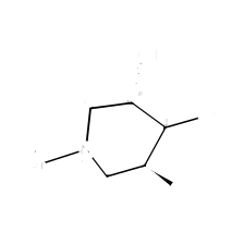 C[C@H]1CN(C(C)(C)C)C[C@H](C)C1C(C)(C)C